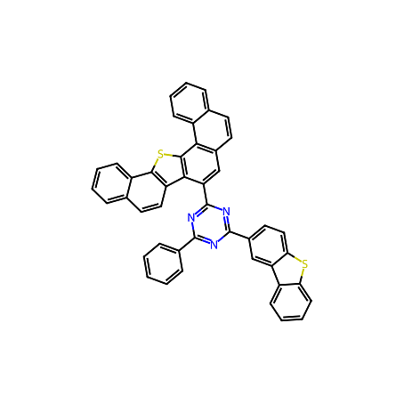 c1ccc(-c2nc(-c3ccc4sc5ccccc5c4c3)nc(-c3cc4ccc5ccccc5c4c4sc5c6ccccc6ccc5c34)n2)cc1